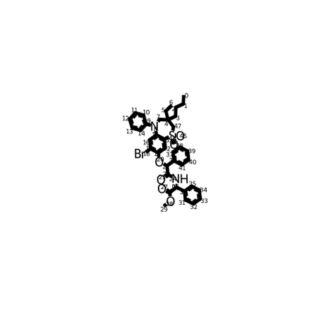 CCCCC1(CC)CN(c2ccccc2)c2cc(Br)c(OC(C(=O)N[C@@H](C(=O)OC)c3ccccc3)c3ccccc3)cc2S(=O)(=O)C1